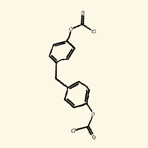 O=C(Cl)Oc1ccc(Cc2ccc(OC(=O)Cl)cc2)cc1